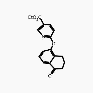 CCOC(=O)c1ccc(Oc2cccc3c2CCCC3=O)nc1